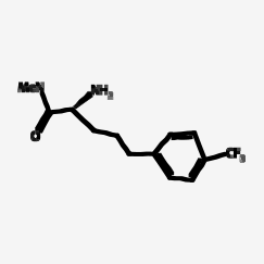 CNC(=O)[C@@H](N)CCCc1ccc(C(F)(F)F)cc1